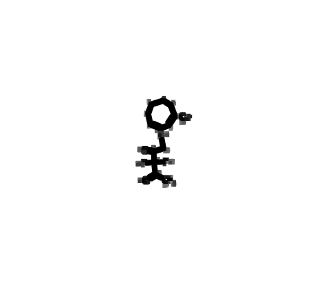 C1=CCCCCC=C1.O=C(CF)C(F)(F)C(=O)C(F)(F)F.[Cu]